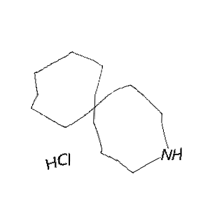 C1CCC2(CC1)CCNCC2.Cl